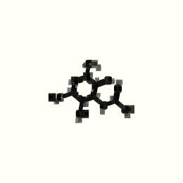 Cc1nn(C)c(=O)c(OC(=O)O)c1O